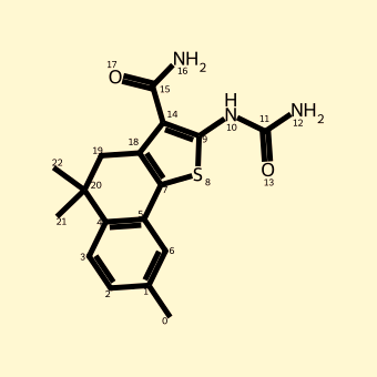 Cc1ccc2c(c1)-c1sc(NC(N)=O)c(C(N)=O)c1CC2(C)C